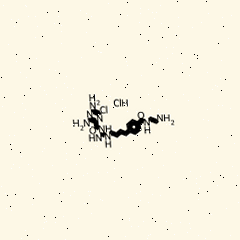 Cl.N=C(NCCCCc1ccc(C(=O)NCCN)cc1)NC(=O)c1nc(Cl)c(N)nc1N